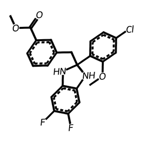 COC(=O)c1cccc(CC2(c3ccc(Cl)cc3OC)Nc3cc(F)c(F)cc3N2)c1